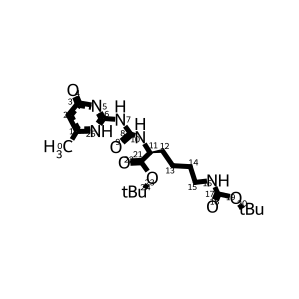 Cc1cc(=O)nc(NC(=O)N[C@@H](CCCCNC(=O)OC(C)(C)C)C(=O)OC(C)(C)C)[nH]1